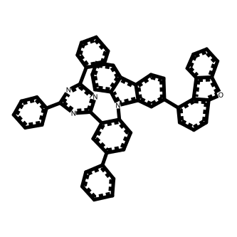 c1ccc(-c2ccc(-n3c4ccccc4c4ccc(-c5cccc6oc7ccccc7c56)cc43)c(-c3nc(-c4ccccc4)nc(-c4ccccc4)n3)c2)cc1